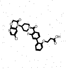 O=C(O)CCOc1ccccc1-c1ccc(C(=O)N2CCC(N3C(=O)COc4ncc(Cl)cc43)CC2)c(F)c1